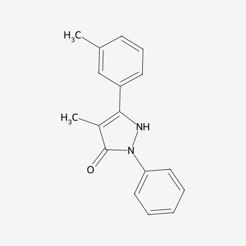 Cc1cccc(-c2[nH]n(-c3ccccc3)c(=O)c2C)c1